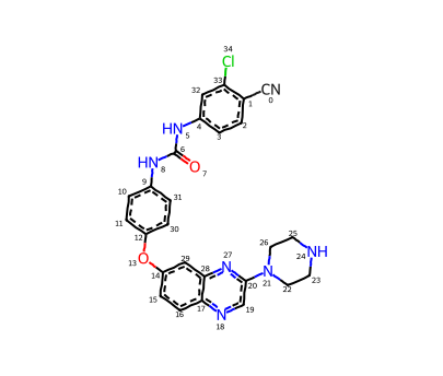 N#Cc1ccc(NC(=O)Nc2ccc(Oc3ccc4ncc(N5CCNCC5)nc4c3)cc2)cc1Cl